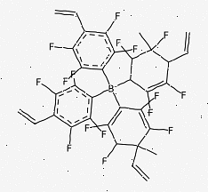 C=Cc1c(F)c(F)c([B-](C2=C(F)C(F)C(C)(C=C)C(F)=C2F)(c2c(F)c(F)c(C=C)c(F)c2F)C2C(F)=C(F)C(C=C)C(C)(F)C2F)c(F)c1F